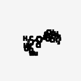 CC(CNC(=O)OC(C)(C)C)c1ccc(B2OC(C)(C)C(C)(C)O2)cc1Cl